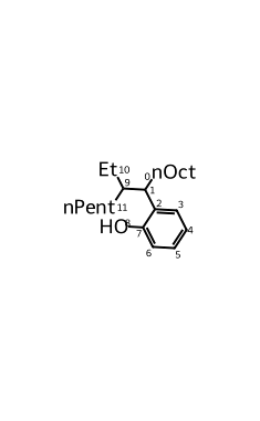 CCCCCCCCC(c1ccccc1O)C(CC)CCCCC